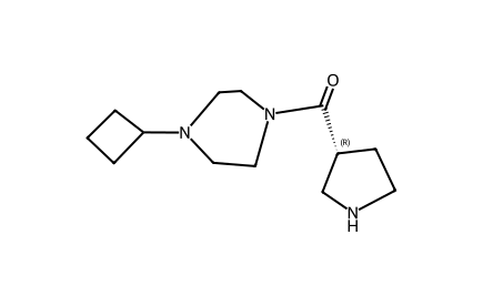 O=C([C@@H]1CCNC1)N1CCN(C2CCC2)CC1